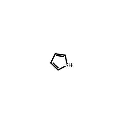 C1=C[SH]C=C1